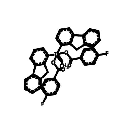 C[CH]=[Ti]([O]C(=O)c1ccc(F)cc1)([O]C(=O)c1ccc(F)cc1)([c]1cccc2c1Cc1ccccc1-2)[c]1cccc2c1Cc1ccccc1-2